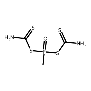 CP(=O)(SC(N)=S)SC(N)=S